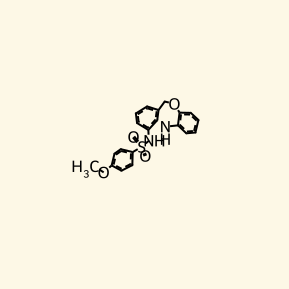 COc1ccc(S(=O)(=O)Nc2cccc3c2Nc2ccccc2OC3)cc1